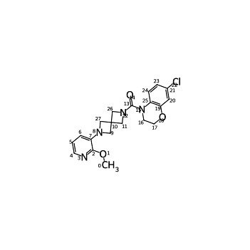 COc1ncccc1N1CC2(CN(C(=O)N3CCOc4cc(Cl)ccc43)C2)C1